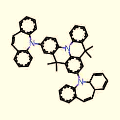 CC1(C)c2ccccc2N2c3ccc(N4c5ccccc5C=Cc5ccccc54)cc3C(C)(C)c3cc(N4c5ccccc5C=CC5C=CC=CC54)cc1c32